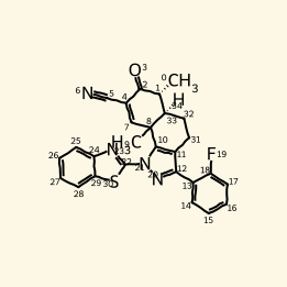 C[C@H]1C(=O)C(C#N)=CC2(C)c3c(c(-c4ccccc4F)nn3-c3nc4ccccc4s3)CC[C@H]12